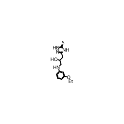 CCOc1cccc(NCC(O)Cc2n[nH]c(=S)[nH]2)c1